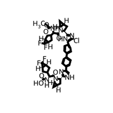 COC(=O)NC(C(=O)N1[C@@H]2C[C@@H]2C[C@H]1c1nc(Cl)c(-c2ccc(-c3ccc(-c4c[nH]c([C@@H]5C[C@H]6C[C@H]6N5C(=O)C(NC(=O)O)C5C[C@@H]6[C@H](C5)C6(F)F)n4)cc3)cc2)[nH]1)C1C[C@@H]2[C@H](C1)C2(F)F